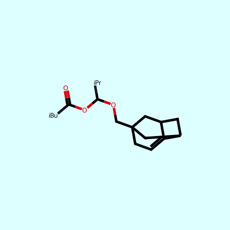 CCC(C)C(=O)OC(OCC12CC=C3C(CC3C1)C2)C(C)C